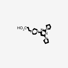 O=C(O)CCN1CCN(c2cc(N3CCCC3)nc(N3CCCC3)n2)CC1